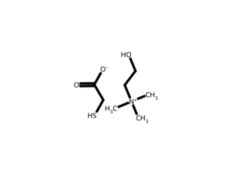 C[N+](C)(C)CCO.O=C([O-])CS